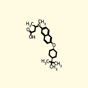 CC(CC(=O)O)N(C)c1ccc2cc(O[C@H]3CC[C@H](C(C)(C)C)CC3)ccc2c1